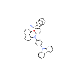 c1ccc(-c2ccc(N(c3ccc(-n4c5ccccc5c5ccccc54)cc3)c3cccc4ccc5nc(-c6ccccc6)oc5c34)cc2)cc1